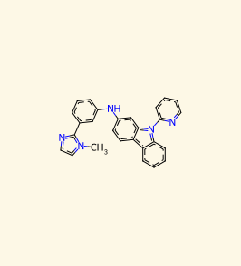 Cn1ccnc1-c1cccc(Nc2ccc3c4ccccc4n(-c4ccccn4)c3c2)c1